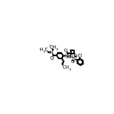 CCCC1CC(C(=O)N(CC)CC)C=CC1NC(=O)C1(NS(=O)(=O)c2ccccc2Cl)CCC1